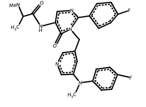 CNC(C)C(=O)Nc1cnc(-c2ccc(F)cc2)n(Cc2cncc(N(C)c3ccc(F)cc3)c2)c1=O